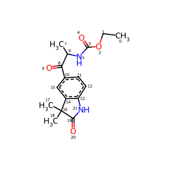 CCOC(=O)NC(C)C(=O)c1ccc2c(c1)C(C)(C)C(=O)N2